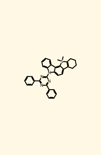 CS1(C)C2=C(CCCC2)c2ccc3c(c21)c1ccccc1n3-c1nc(-c2ccccc2)nc(-c2ccccc2)n1